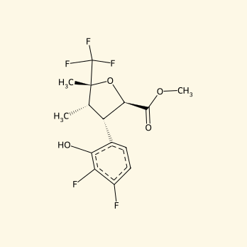 COC(=O)[C@@H]1O[C@@](C)(C(F)(F)F)[C@@H](C)[C@H]1c1ccc(F)c(F)c1O